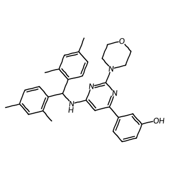 Cc1ccc(C(Nc2cc(-c3cccc(O)c3)nc(N3CCOCC3)n2)c2ccc(C)cc2C)c(C)c1